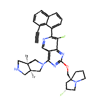 C#Cc1cccc2cccc(-c3ncc4c(N5C[C@H]6CNC[C@H]6C5)nc(OC[C@@]56CCCN5C[C@H](F)C6)nc4c3F)c12